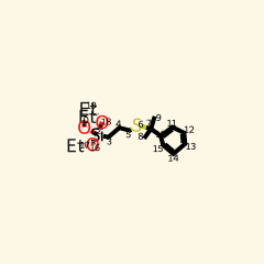 CCO[Si](CCCSC(C)(C)c1ccccc1)(OCC)OCC